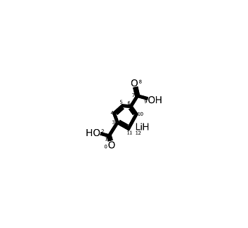 O=C(O)c1ccc(C(=O)O)cc1.[LiH]